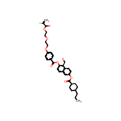 C=C(F)C(=O)OCCOCCOc1ccc(C(=O)Oc2ccc3cc(OC(=O)C4CCC(CCC)CC4)ccc3c2C=O)cc1